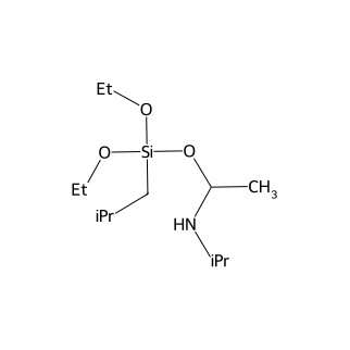 CCO[Si](CC(C)C)(OCC)OC(C)NC(C)C